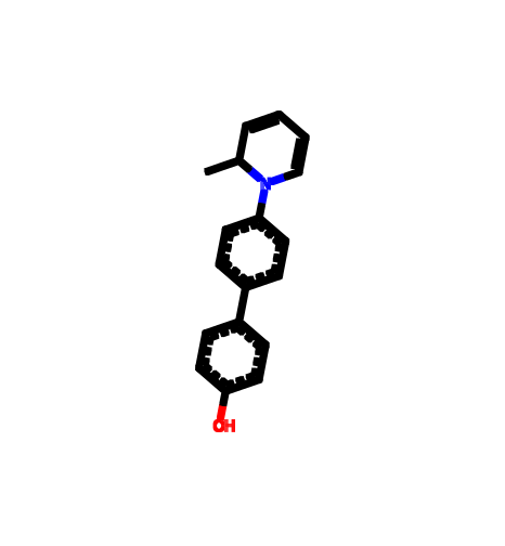 CC1C=CC=CN1c1ccc(-c2ccc(O)cc2)cc1